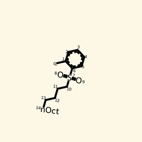 [CH2]c1ccccc1S(=O)(=O)CCCCCCCCCCCC